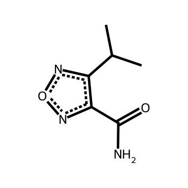 CC(C)c1nonc1C(N)=O